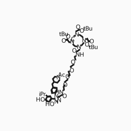 CC(=O)N1CCC(Cc2ccc(-n3c(C(=O)NCCOCCOCCOCCOCCNC(=O)CN4CCN(CC(=O)OC(C)(C)C)CCN(CC(=O)OC(C)(C)C)CCN(CC(=O)OC(C)(C)C)CC4)nnc3-c3cc(C(C)C)c(O)cc3O)cc2)CC1